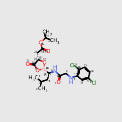 CC(C)C[C@H](NC(=O)CNc1cc(Cl)ccc1Cl)B1OC(=O)[C@H](CC(=O)OC(C)C)O1